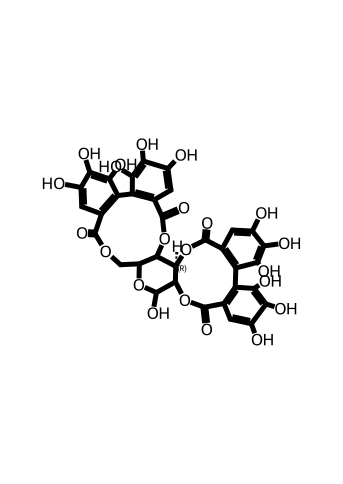 O=C1OCC2OC(O)C3OC(=O)c4cc(O)c(O)c(O)c4-c4c(cc(O)c(O)c4O)C(=O)O[C@@H]3C2OC(=O)c2cc(O)c(O)c(O)c2-c2c1cc(O)c(O)c2O